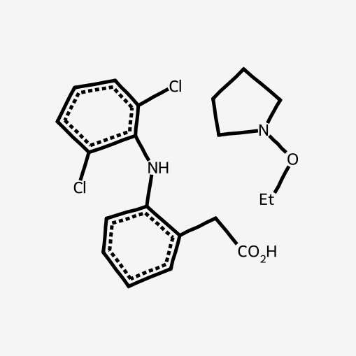 CCON1CCCC1.O=C(O)Cc1ccccc1Nc1c(Cl)cccc1Cl